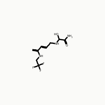 C=C(/C=C/CNC(O)C(N)=O)NCC(F)(F)F